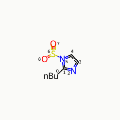 CCCCc1nccn1[SH](=O)=O